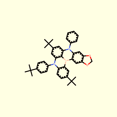 CC(C)(C)c1ccc(N2c3ccc(C(C)(C)C)cc3B3c4cc5c(cc4N(c4ccccc4)c4cc(C(C)(C)C)cc2c43)OCO5)cc1